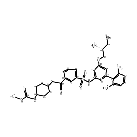 Cc1cccc(C)c1-c1cc(OC[C@H](N)CC(C)(C)C)nc(NS(=O)(=O)c2cccc(C(=O)CC3CCC(NC(=O)OC(C)(C)C)CC3)c2)n1